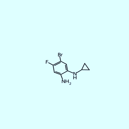 Nc1cc(F)c(Br)cc1NC1CC1